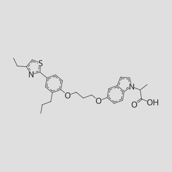 CCCc1cc(-c2nc(CC)cs2)ccc1OCCCOc1ccc2c(ccn2C(C)C(=O)O)c1